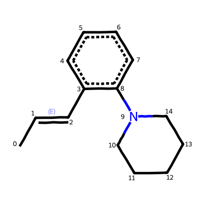 C/C=C/c1ccccc1N1CCCCC1